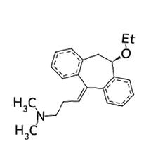 CCO[C@@H]1Cc2ccccc2C(=CCCN(C)C)c2ccccc21